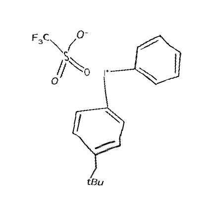 CC(C)(C)c1ccc([I+]c2ccccc2)cc1.O=S(=O)([O-])C(F)(F)F